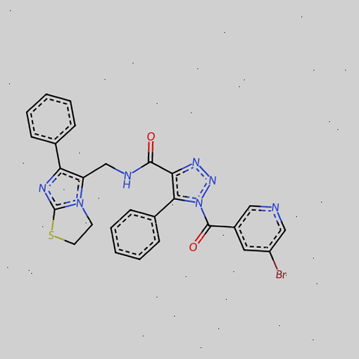 O=C(NCc1c(-c2ccccc2)nc2n1CCS2)c1nnn(C(=O)c2cncc(Br)c2)c1-c1ccccc1